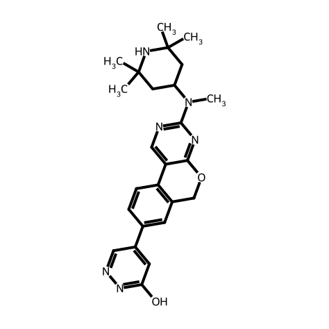 CN(c1ncc2c(n1)OCc1cc(-c3cnnc(O)c3)ccc1-2)C1CC(C)(C)NC(C)(C)C1